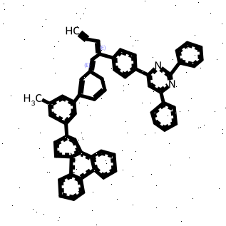 C#C/C=C(\C=C1\C=C(c2cc(C)cc(-c3ccc4c5ccccc5c5ccccc5c4c3)c2)C=CC1)c1ccc(-c2cc(-c3ccccc3)nc(-c3ccccc3)n2)cc1